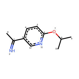 CC(=N)c1ccc(OC(C)C)nc1